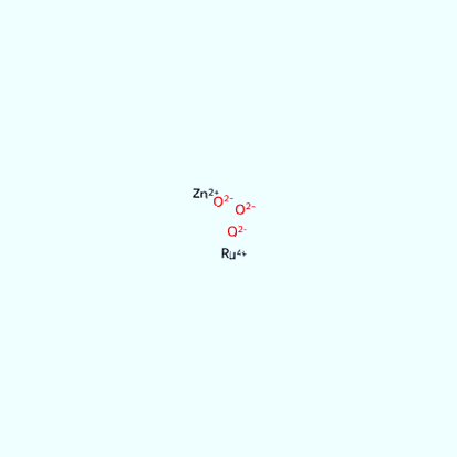 [O-2].[O-2].[O-2].[Ru+4].[Zn+2]